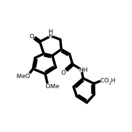 COc1cc2c(cc1OC)/C(=C\C(=O)Nc1ccccc1C(=O)O)CNC2=O